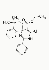 CCOC(=O)C1=C(Cl)NC(c2ccccn2)=NC12CCC(C)(C)c1ccccc12